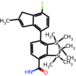 CC1=Cc2c(-c3ccc(C([NH])=O)c4c3[Si](C)(C)[Si](C)(C)[Si]4(C)C)ccc(F)c2C1